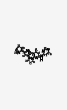 Cc1cc(Nc2cc(C)nc(N3CCC[C@H]3c3cc(-c4ccccn4)no3)n2)ncn1